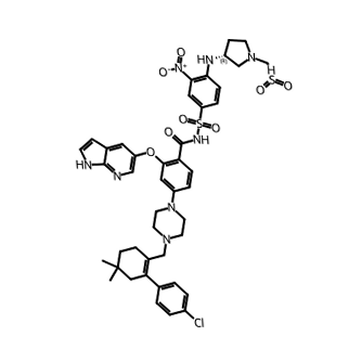 CC1(C)CCC(CN2CCN(c3ccc(C(=O)NS(=O)(=O)c4ccc(N[C@@H]5CCN(C[SH](=O)=O)C5)c([N+](=O)[O-])c4)c(Oc4cnc5[nH]ccc5c4)c3)CC2)=C(c2ccc(Cl)cc2)C1